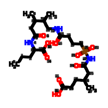 CCCC(NC(=O)CC(C)C(C)CNC(=O)CCCS(=O)(=O)NC(=O)CC(C)CCC(=O)O)C(=O)O